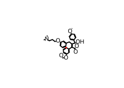 COc1ccc(C2(O)OC(=O)C(c3ccc4c(c3)OCO4)=C2Cc2cccc(OCCCN(C)C)c2)cc1